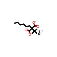 CCCCCCC(C(=O)[O-])(C(=O)[O-])C(C)(C)C.[K+].[Li+]